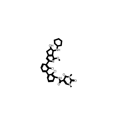 COc1nc(-c2cccc(-c3cccc(NC(=O)c4cn(C)c(=O)n(C)c4=O)c3Cl)c2Cl)cc2c1C(NC1CCCCC1)C(O)C2